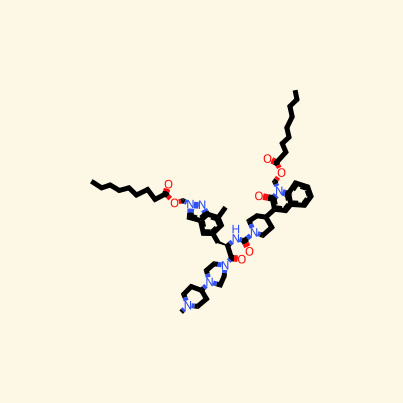 CCCCCCCCC(=O)OCn1cc2cc(C[C@@H](NC(=O)N3CCC(c4cc5ccccc5n(COC(=O)CCCCCCCC)c4=O)CC3)C(=O)N3CCN(C4CCN(C)CC4)CC3)cc(C)c2n1